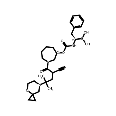 CC(C)(CC(C#N)C(=O)N1CCCC[C@@H](OC(=O)N[C@@H](Cc2ccccc2)B(O)O)C1)N1CCOC2(CC2)C1